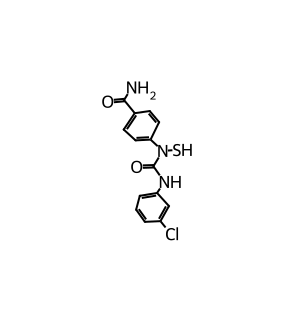 NC(=O)c1ccc(N(S)C(=O)Nc2cccc(Cl)c2)cc1